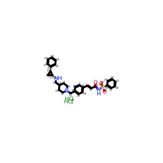 Cl.Cl.O=C(C=Cc1ccc(CN2CCC(CN[C@@H]3C[C@H]3c3ccccc3)CC2)cc1)NS(=O)(=O)c1ccccc1